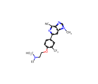 CCN(CCOc1ccc(-c2cc3c(ncn3C)c(C#N)n2)cc1C(F)(F)F)C(=O)O